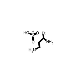 CCC(N)CCN.O=[SH](=O)O